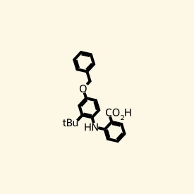 CC(C)(C)c1cc(OCc2ccccc2)ccc1Nc1ccccc1C(=O)O